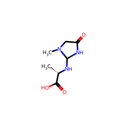 C[C@H](NC1NC(=O)CN1C)C(=O)O